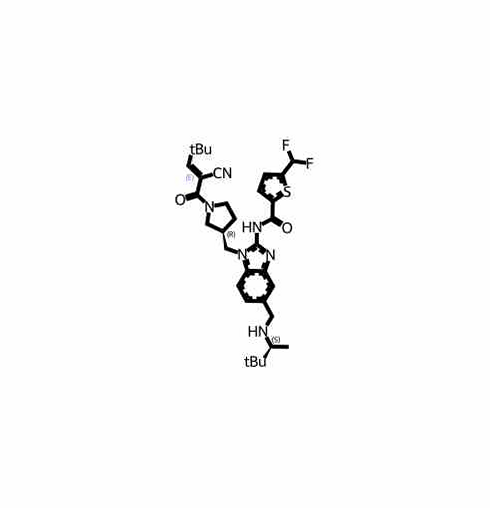 C[C@H](NCc1ccc2c(c1)nc(NC(=O)c1ccc(C(F)F)s1)n2C[C@@H]1CCN(C(=O)/C(C#N)=C/C(C)(C)C)C1)C(C)(C)C